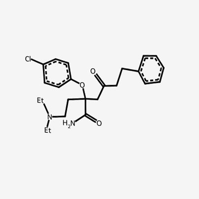 CCN(CC)CCC(CC(=O)CCc1ccccc1)(Oc1ccc(Cl)cc1)C(N)=O